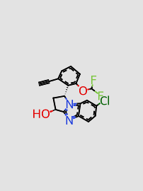 C#Cc1cccc(OC(F)F)c1[C@H]1C[C@H](O)c2nc3ccc(Cl)cc3n21